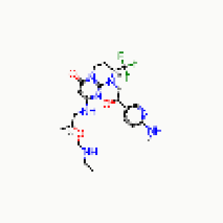 CCNCO[C@@H](C)CNc1cc(=O)n2c(n1)N(CC(=O)c1ccc(NC)nc1)[C@H](C(F)(F)F)CC2